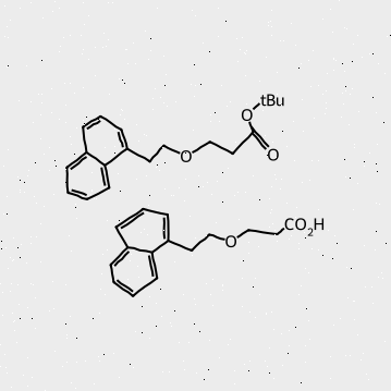 CC(C)(C)OC(=O)CCOCCc1cccc2ccccc12.O=C(O)CCOCCc1cccc2ccccc12